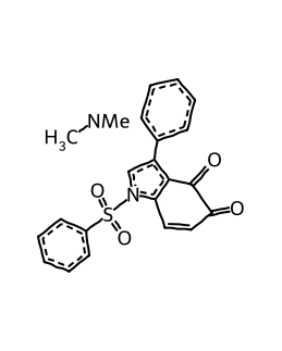 CNC.O=C1C=Cc2c(c(-c3ccccc3)cn2S(=O)(=O)c2ccccc2)C1=O